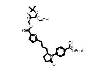 CCCCC[C@H](O)c1ccc(N2C(=O)CCC2CCCc2ccc(C(=O)OC[C@H]3OC(C)(C)O[C@@H]3CO)s2)cc1